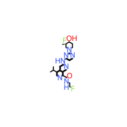 CC(C)c1cnc(C(=O)NCCF)c2cnc(Nc3ccnc(N4CC[C@@H](O)[C@@](C)(F)C4)n3)cc12